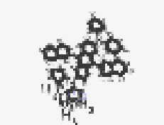 C/C=C\C(=C/C(C)C)N(c1ccc2c(-c3ccc4ccccc4c3)c3cc(N(c4ccccc4)c4ccccc4)ccc3c(-c3ccc4ccccc4c3)c2c1)C1C=CC=CC1C